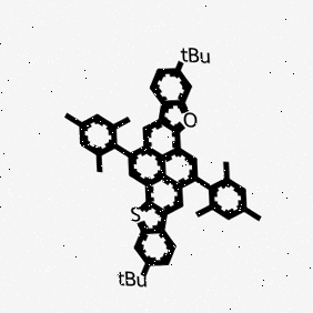 Cc1cc(C)c(-c2cc3c4sc5cc(C(C)(C)C)ccc5c4cc4c(-c5c(C)cc(C)cc5C)cc5c6oc7cc(C(C)(C)C)ccc7c6cc2c5c43)c(C)c1